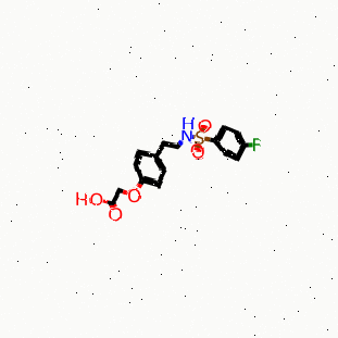 O=C(O)COc1ccc(CCNS(=O)(=O)c2ccc(F)cc2)cc1